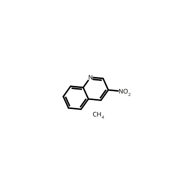 C.O=[N+]([O-])c1cnc2ccccc2c1